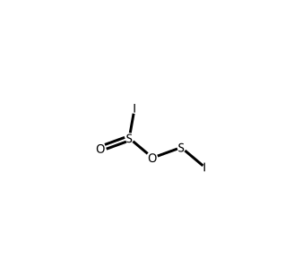 O=S(I)OSI